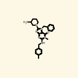 Cc1ccc(CNc2nc3nc(N4CCCC(N)C4)n(Cc4ccccc4)c3c(=O)n2C)cc1